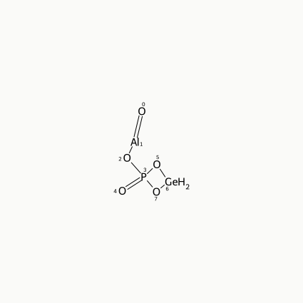 [O]=[Al][O]P1(=O)[O][GeH2][O]1